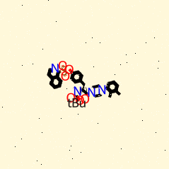 Cc1cccc(N2CCN(C(=O)[C@H](Cc3ccc(OS(=O)(=O)c4nccc5ccccc45)cc3)N(C)C(=O)OC(C)(C)C)CC2)c1C